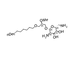 CCCCCCCCCCCCCCCCOC[C@H](CO[C@@H]1O[C@H](CN)[C@@H](O)[C@H](O)[C@H]1N)OC